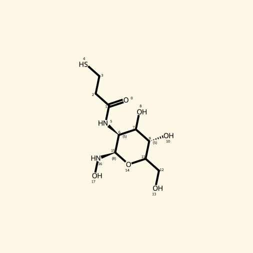 O=C(CCS)N[C@H]1C(O)[C@H](O)C(CO)O[C@H]1NO